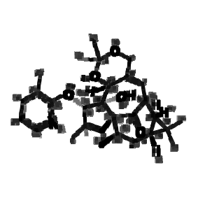 CC1=C[C@]23C(=O)[C@@H](C=C4COC(C)(C)O[C@H]4[C@]2(O)[C@H]1Oc1ncccc1C)[C@H]1[C@@H](C[C@H]3C)C1(C)C